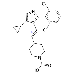 O=C(O)N1CCC(/C=C/c2c(C3CC3)cnn2-c2c(Cl)cccc2Cl)CC1